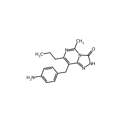 CCCc1nc(C)n2c(=O)[nH]nc2c1Cc1ccc(N)cc1